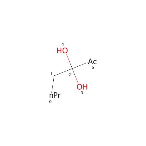 CCCCC(O)(O)C(C)=O